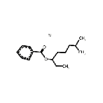 CCC(CCCC(C)C)OC(=O)c1ccccc1.[N]